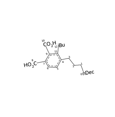 CCCCCCCCCCCCCc1ccc(C(=O)O)c(C(=O)O)c1C(C)CC